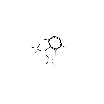 CC(C)(C)[Si](C)(C)Oc1c(F)ccc(C=O)c1O[Si](C)(C)C(C)(C)C